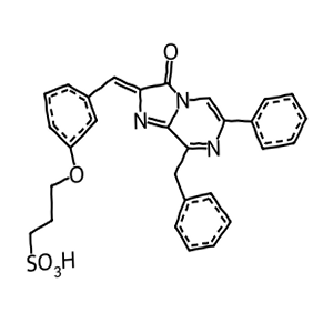 O=C1/C(=C/c2cccc(OCCCS(=O)(=O)O)c2)N=C2C(Cc3ccccc3)=NC(c3ccccc3)=CN12